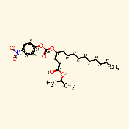 [CH2]C([CH2])OC(=O)CCC(CCCCCCCCCC)OC(=O)Oc1ccc([N+](=O)[O-])cc1